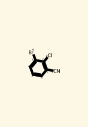 N#Cc1cccc(Br)c1Cl